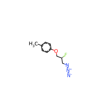 Cc1ccc(OC[C@@H](F)CN=[N+]=[N-])cc1